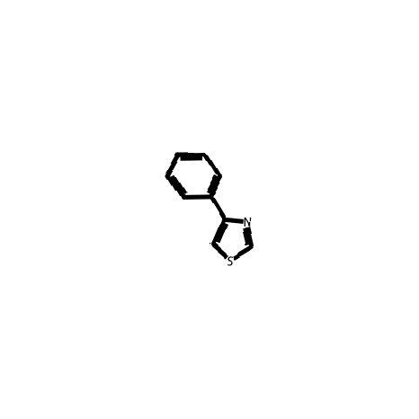 [c]1scnc1-c1ccccc1